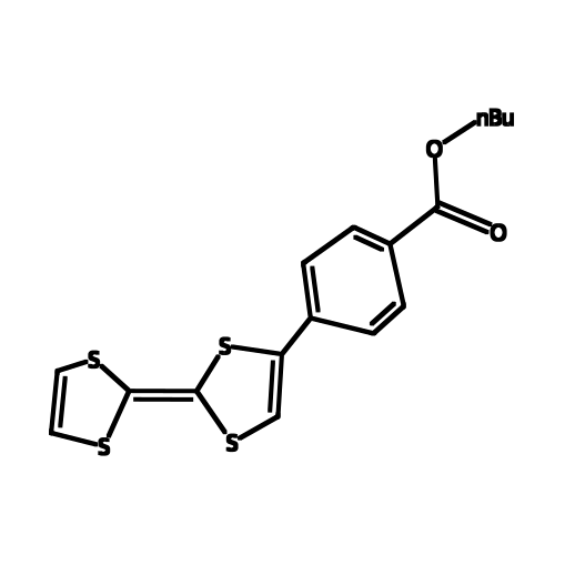 CCCCOC(=O)c1ccc(C2=CSC(=C3SC=CS3)S2)cc1